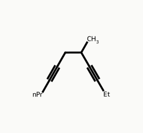 C[CH]CC#CCC(C)C#CCC